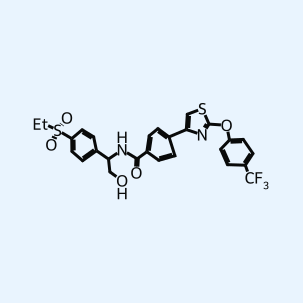 CCS(=O)(=O)c1ccc(C(CO)NC(=O)c2ccc(-c3csc(Oc4ccc(C(F)(F)F)cc4)n3)cc2)cc1